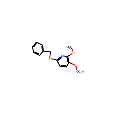 O=C(O)Oc1ccc(SCc2ccccc2)nc1OC(=O)O